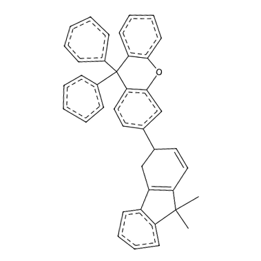 CC1(C)C2=C(CC(c3ccc4c(c3)Oc3ccccc3C4(c3ccccc3)c3ccccc3)C=C2)c2ccccc21